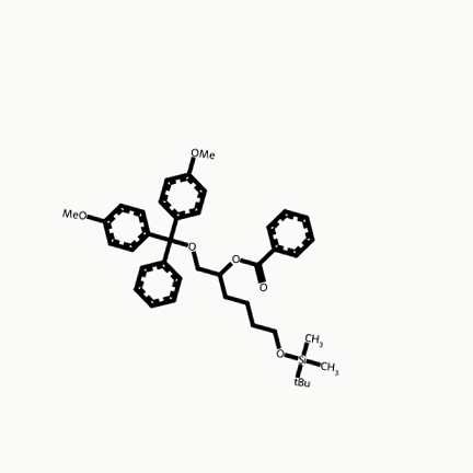 COc1ccc(C(OCC(CCCCO[Si](C)(C)C(C)(C)C)OC(=O)c2ccccc2)(c2ccccc2)c2ccc(OC)cc2)cc1